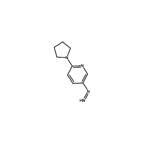 N=Nc1ccc(N2CCCC2)nc1